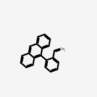 C=Cc1ccccc1-c1c2ccccc2cc2ccccc12